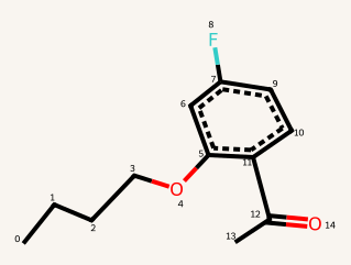 CCCCOc1cc(F)ccc1C(C)=O